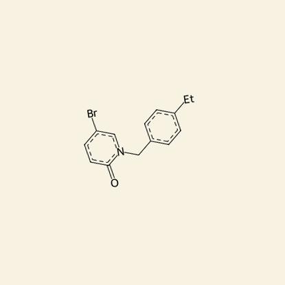 CCc1ccc(Cn2cc(Br)ccc2=O)cc1